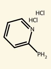 Cl.Cl.Pc1ccccn1